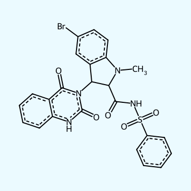 CN1c2ccc(Br)cc2C(n2c(=O)[nH]c3ccccc3c2=O)C1C(=O)NS(=O)(=O)c1ccccc1